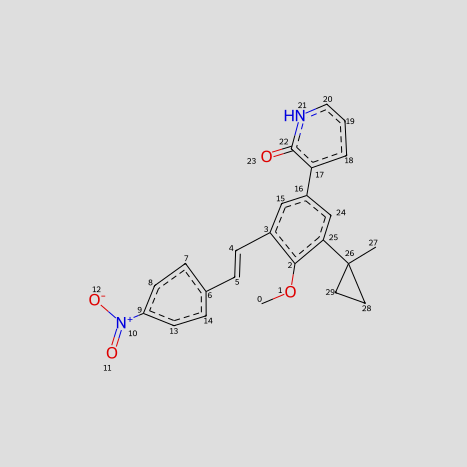 COc1c(/C=C/c2ccc([N+](=O)[O-])cc2)cc(-c2ccc[nH]c2=O)cc1C1(C)CC1